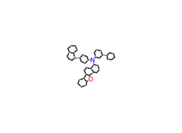 c1ccc(-c2cccc(N(c3ccc(-c4cccc5ccccc45)cc3)c3cccc4c3ccc3c5ccccc5oc43)c2)cc1